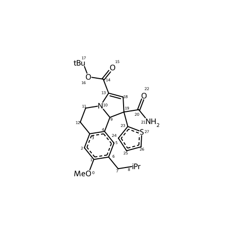 COc1cc2c(cc1CC(C)C)C1N(CC2)C(C(=O)OC(C)(C)C)=CC1(C(N)=O)c1cccs1